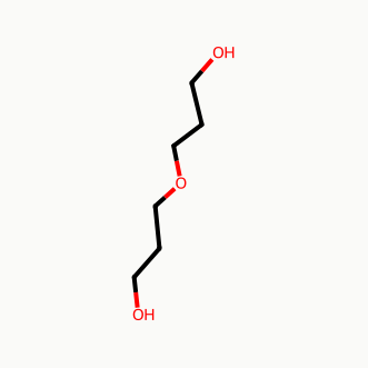 OCCCOCCCO